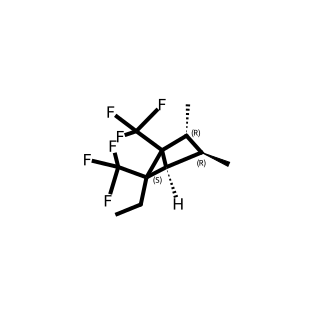 CCC1(C(F)(F)F)[C@@H]2[C@H](C)[C@@H](C)C21C(F)(F)F